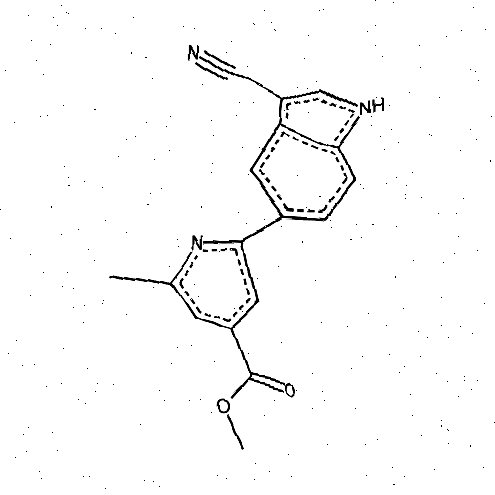 COC(=O)c1cc(C)nc(-c2ccc3[nH]cc(C#N)c3c2)c1